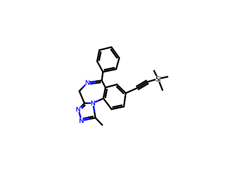 Cc1nnc2n1-c1ccc(C#C[Si](C)(C)C)cc1C(c1ccccc1)=NC2